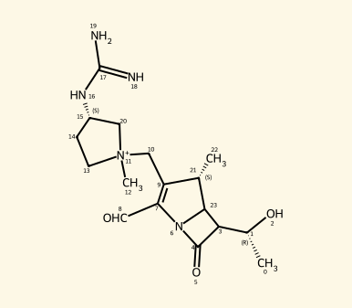 C[C@@H](O)C1C(=O)N2C(C=O)=C(C[N+]3(C)CC[C@H](NC(=N)N)C3)[C@H](C)C12